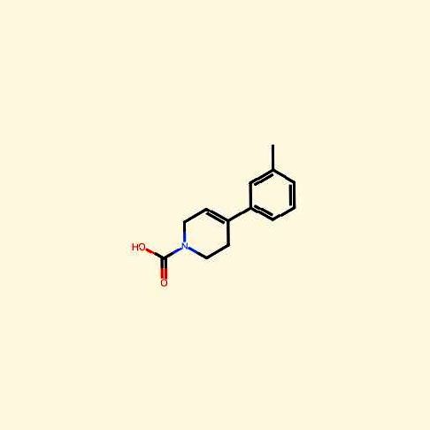 Cc1cccc(C2=CCN(C(=O)O)CC2)c1